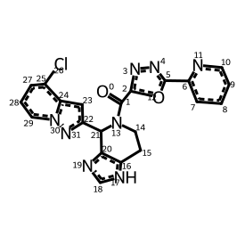 O=C(c1nnc(-c2ccccn2)o1)N1CCc2[nH]cnc2C1c1cc2c(Cl)cccn2n1